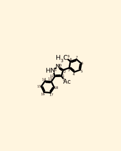 CC(=O)c1c(-c2ccccc2C)n[nH]c1-c1ccccc1